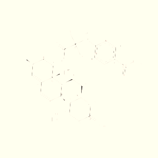 C[C@H]1C=CC2=C[C@@H](O)C[C@H](OC(=O)C(C)(C)Oc3ccc([N+](=O)[O-])cc3)[C@@H]2[C@H]1CC[C@@H]1C[C@@H](O)CC(=O)O1